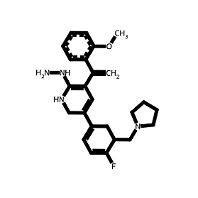 C=C(C1=C(NN)NCC(C2=CC=C(F)C(CN3CCCC3)C2)=C1)c1ccccc1OC